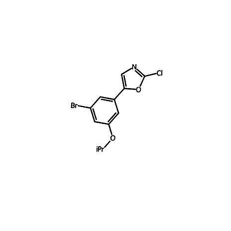 CC(C)Oc1cc(Br)cc(-c2cnc(Cl)o2)c1